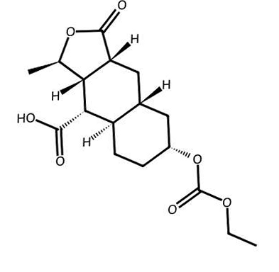 CCOC(=O)O[C@@H]1CC[C@@H]2[C@@H](C1)C[C@H]1C(=O)O[C@H](C)[C@H]1[C@H]2C(=O)O